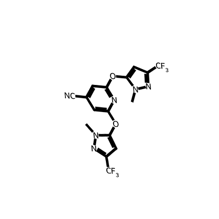 Cn1nc(C(F)(F)F)cc1Oc1cc(C#N)cc(Oc2cc(C(F)(F)F)nn2C)n1